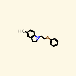 Cc1ccc2c(c1)CCN2CCSc1ccccc1